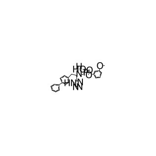 COc1cccc(OP(=O)(O)CNC(Cc2ccc(-c3ccccc3)cc2)c2nnn[nH]2)c1